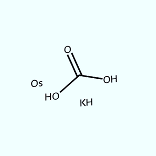 O=C(O)O.[KH].[Os]